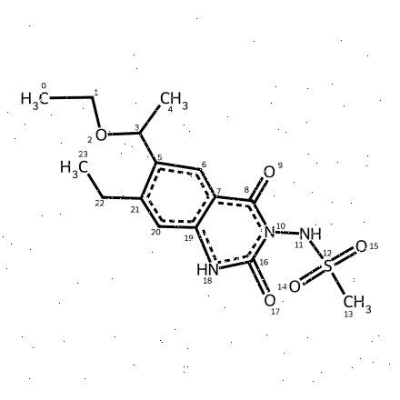 CCOC(C)c1cc2c(=O)n(NS(C)(=O)=O)c(=O)[nH]c2cc1CC